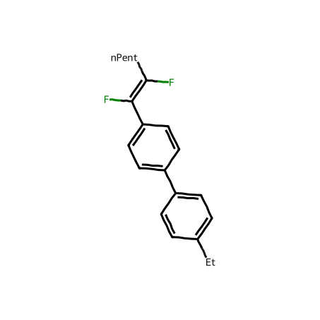 CCCCCC(F)=C(F)c1ccc(-c2ccc(CC)cc2)cc1